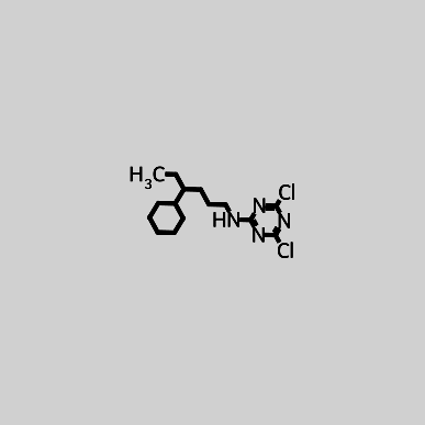 CCC(CCCNc1nc(Cl)nc(Cl)n1)C1CCCCC1